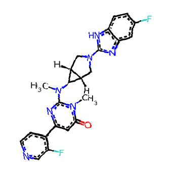 CN(c1nc(-c2ccncc2F)cc(=O)n1C)[C@H]1[C@@H]2CN(c3nc4cc(F)ccc4[nH]3)C[C@@H]21